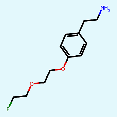 NCCc1ccc(OCCOCCF)cc1